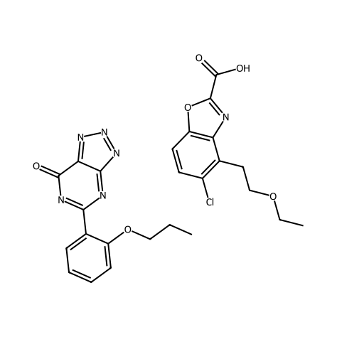 CCCOc1ccccc1C1=NC(=O)C2=NN=NC2=N1.CCOCCc1c(Cl)ccc2oc(C(=O)O)nc12